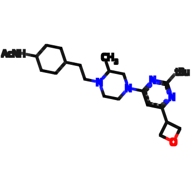 CC(=O)NC1CCC(CCN2CCN(c3cc(C4COC4)nc(C(C)(C)C)n3)CC2C)CC1